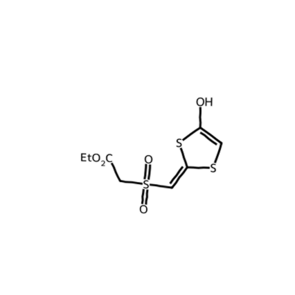 CCOC(=O)CS(=O)(=O)C=C1SC=C(O)S1